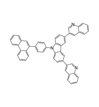 c1ccc2ncc(-c3ccc4c(c3)c3cc(-c5cnc6ccccc6c5)ccc3n4-c3ccc(-c4cc5ccccc5c5ccccc45)cc3)cc2c1